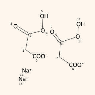 O=C([O-])CC(=O)OO.O=C([O-])CC(=O)OO.[Na+].[Na+]